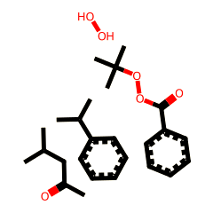 CC(=O)CC(C)C.CC(C)(C)OOC(=O)c1ccccc1.CC(C)c1ccccc1.OO